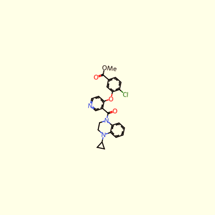 COC(=O)c1ccc(Cl)c(Oc2ccncc2C(=O)N2CCN(C3CC3)c3ccccc32)c1